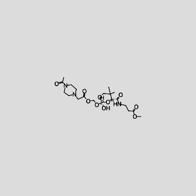 COC(=O)CCNC(=O)[C@@H]1O[PH](O)(OCOC(=O)CN2CCN(C(C)=O)CC2)OCC1(C)C